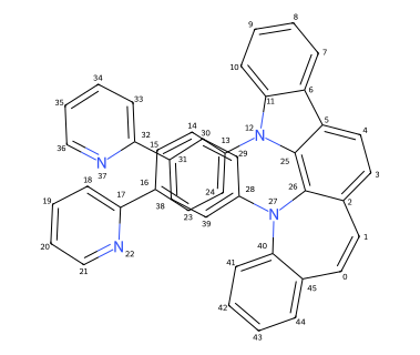 C1=Cc2ccc3c4ccccc4n(-c4ccc(-c5ccccn5)cc4)c3c2N(c2ccc(-c3ccccn3)cc2)c2ccccc21